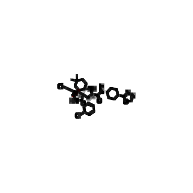 CC1(C)CCC2(CC1)N[C@@H](C(=O)N[C@H]1CC[C@H](c3nnco3)CC1)[C@H](c1cccc(Cl)c1)[C@]21C(=O)Nc2cc(Cl)ncc21